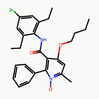 CCCCOc1cc(C)[n+]([O-])c(-c2ccccc2)c1C(=O)Nc1c(CC)cc(Br)cc1CC